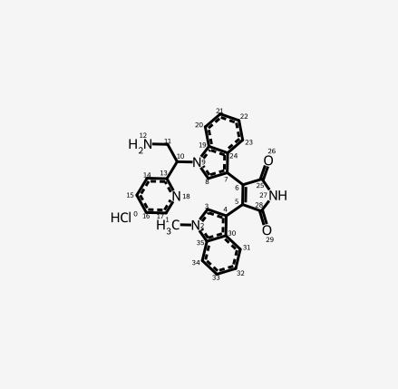 Cl.Cn1cc(C2=C(c3cn(C(CN)c4ccccn4)c4ccccc34)C(=O)NC2=O)c2ccccc21